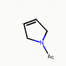 CC(=O)N1C[C]=[C]C1